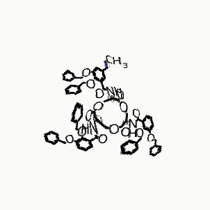 C/C=C/c1cc(OCc2ccccc2)c(OCc2ccccc2)c(C(=O)N[C@H]2COC(=O)[C@@H](NC(=O)c3cccc(OCc4ccccc4)c3OCc3ccccc3)COC(=O)[C@@H](NC(=O)c3cccc(OCc4ccccc4)c3OCc3ccccc3)COC2=O)c1